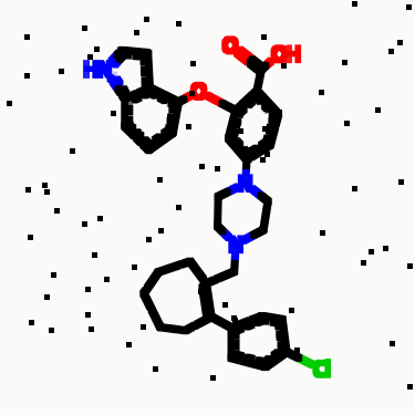 O=C(O)c1ccc(N2CCN(CC3=C(c4ccc(Cl)cc4)CCCCC3)CC2)cc1Oc1cccc2[nH]ccc12